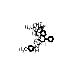 Cc1ccc(NC(=O)NC2CC(c3ccccc3)c3ccc(C(F)(F)F)cc3N(CC(=O)NC(C)(C)C)C2=O)cc1